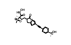 C[C@@H](O)c1ccc(C#Cc2cc3n(c2)C(=O)N(CC[C@](C)(C(=O)NO)S(C)(=O)=O)C3)cc1